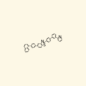 c1ccc(-c2cccc(-c3ccc(-c4nc5cc(-c6ccc(-c7cccc8ccccc78)cc6)ccc5s4)cc3)c2)nc1